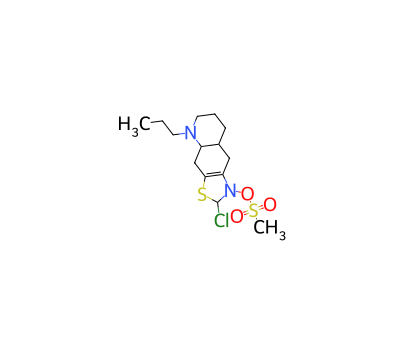 CCCN1CCCC2CC3=C(CC21)SC(Cl)N3OS(C)(=O)=O